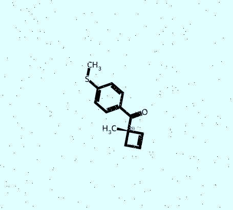 CSc1ccc(C(=O)[C@]2(C)C=CC2)cc1